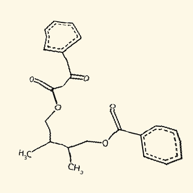 CC(COC(=O)C(=O)c1ccccc1)C(C)COC(=O)c1ccccc1